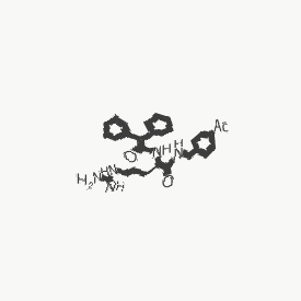 CC(=O)c1ccc(CNC(=O)[C@@H](CCCNC(=N)N)NC(=O)C(c2ccccc2)c2ccccc2)cc1